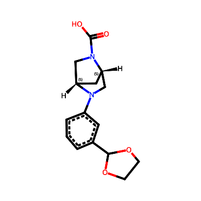 O=C(O)N1C[C@@H]2C[C@H]1CN2c1cccc(C2OCCO2)c1